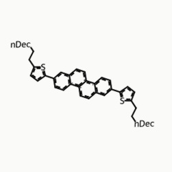 CCCCCCCCCCCCc1ccc(-c2ccc3c(ccc4c5ccc(-c6ccc(CCCCCCCCCCCC)s6)cc5ccc34)c2)s1